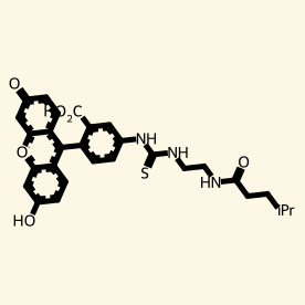 CC(C)CCC(=O)NCCNC(=S)Nc1ccc(-c2c3ccc(=O)cc-3oc3cc(O)ccc23)c(C(=O)O)c1